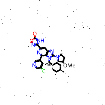 CO[C@@H]1C[C@@H](C)N(c2nc3cc(-c4noc(=O)[nH]4)nc(-c4cncc(Cl)c4)c3n2[C@H](C)[C@H]2CC[C@H](C)CC2)C1